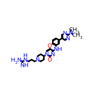 CN(C)c1ncc(-c2ccc3c(c2)Nc2nc(=O)n(C4CCN(CCCNC(=N)N)CC4)cc2O3)cn1